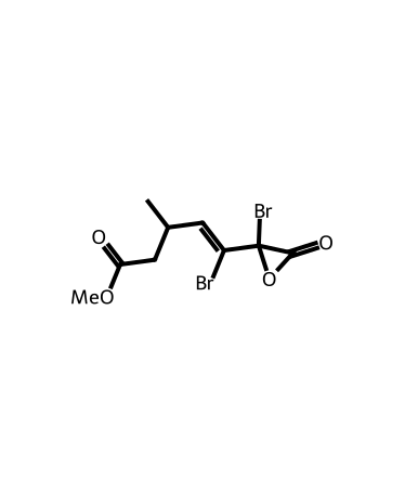 COC(=O)CC(C)C=C(Br)C1(Br)OC1=O